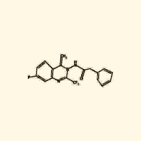 C=C1c2ccc(F)cc2N=C(C(F)(F)F)N1NC(=O)Cc1ccccc1